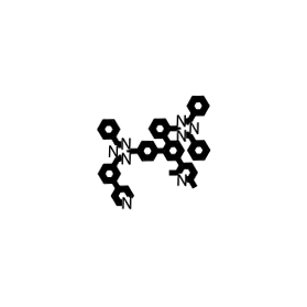 Cc1ccc(-c2ccc(-c3ccccc3-c3nc(-c4ccccc4)nc(-c4ccccc4)n3)c(-c3ccc(-c4nc(-c5ccccc5)nc(-c5cccc(-c6ccncc6)c5)n4)cc3)c2)c(C)n1